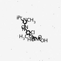 Cc1cc(-c2nc(-c3cc(C)c(OC[C@H](O)CNC(=O)CO)c(Cl)c3)no2)cc(CC(C)C)n1